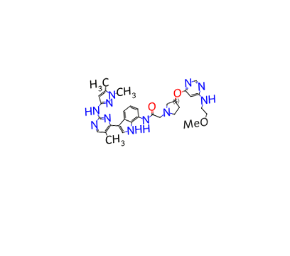 COCCNc1cc(O[C@H]2CCN(CC(=O)Nc3cccc4c(-c5nc(Nc6cc(C)n(C)n6)ncc5C)c[nH]c34)C2)ncn1